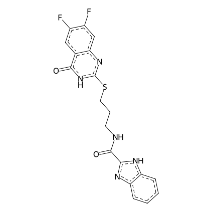 O=C(NCCCSc1nc2cc(F)c(F)cc2c(=O)[nH]1)c1nc2ccccc2[nH]1